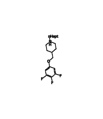 CCCCCCC[SiH]1CCC(COc2cc(F)c(F)c(F)c2)CC1